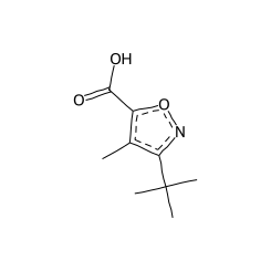 Cc1c(C(C)(C)C)noc1C(=O)O